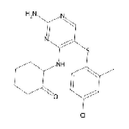 Cc1cc(Cl)ccc1Sc1cnc(N)nc1NC1CCCCC1=O